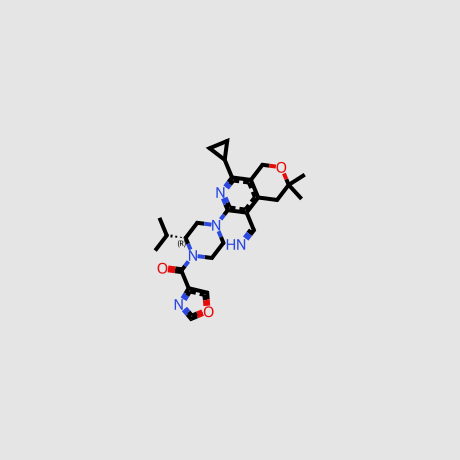 CC(C)[C@@H]1CN(c2nc(C3CC3)c3c(c2C=N)CC(C)(C)OC3)CCN1C(=O)c1cocn1